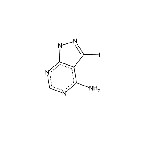 Nc1ncnc2c1C(I)=N[N]2